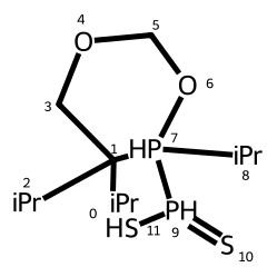 CC(C)C1(C(C)C)COCO[PH]1(C(C)C)[PH](=S)S